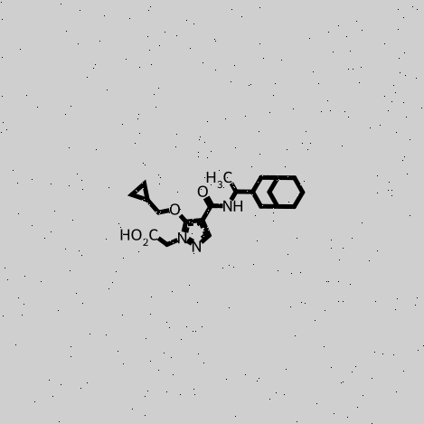 CC(NC(=O)c1cnn(CC(=O)O)c1OCC1CC1)C1CC2CCCC(C2)C1